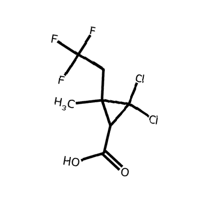 CC1(CC(F)(F)F)C(C(=O)O)C1(Cl)Cl